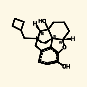 Oc1ccc2c3c1O[C@H]1CCCC4(O)[C@@H](C2)N(CC2CCC2)CC[C@]314